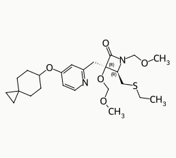 CCSC[C@@H]1N(COC)C(=O)[C@]1(Cc1cc(OC2CCC3(CC2)CC3)ccn1)OCOC